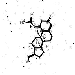 CC=C1CC[C@H]2[C@@H]3CCC4=CC(=O)CC(NC(=O)O)[C@]4(C)[C@H]3CC[C@]12C